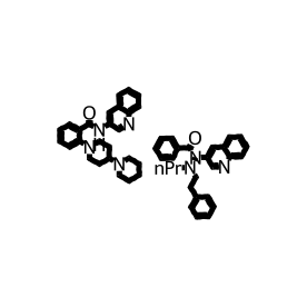 CCCN(CCc1ccccc1)N(C(=O)c1ccccc1)c1cnc2ccccc2c1.O=C(Nc1cnc2ccccc2c1)c1ccccc1N1CCC(N2CCCCC2)CC1